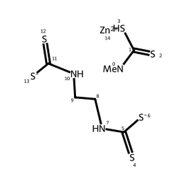 CNC(=S)S.S=C([S-])NCCNC(=S)[S-].[Zn+2]